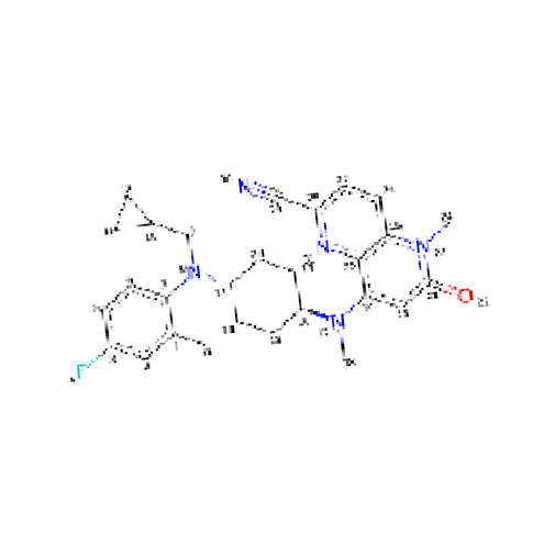 Cc1cc(F)ccc1N(CC1CC1)[C@H]1CC[C@H](N(C)c2cc(=O)n(C)c3ccc(C#N)nc23)CC1